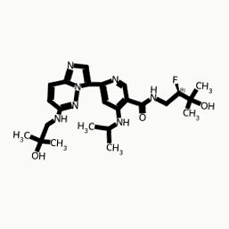 CC(C)Nc1cc(-c2cnc3ccc(NCC(C)(C)O)nn23)ncc1C(=O)NC[C@@H](F)C(C)(C)O